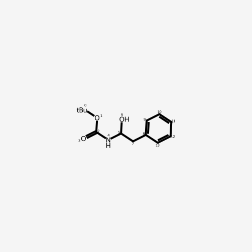 CC(C)(C)OC(=O)NC(O)Cc1ccccc1